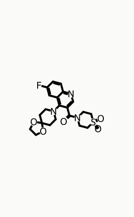 O=C(c1cnc2ccc(F)cc2c1N1CCC2(CC1)OCCO2)N1CCS(=O)(=O)CC1